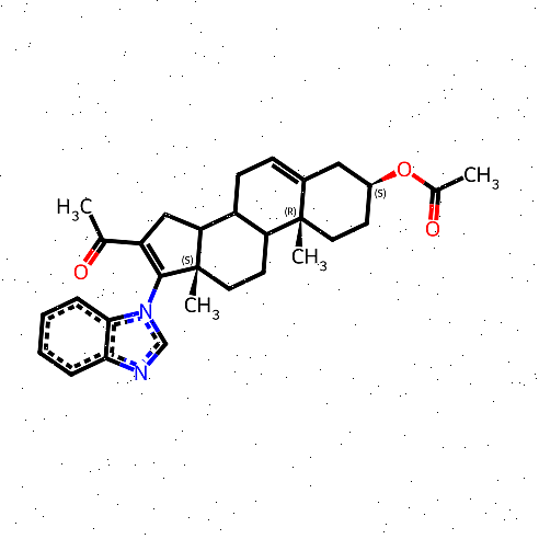 CC(=O)O[C@H]1CC[C@@]2(C)C(=CCC3C2CC[C@]2(C)C(n4cnc5ccccc54)=C(C(C)=O)CC32)C1